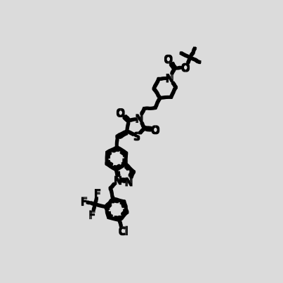 CC(C)(C)OC(=O)N1CCC(CCN2C(=O)SC(=Cc3ccc4c(cnn4Cc4ccc(Cl)cc4C(F)(F)F)c3)C2=O)CC1